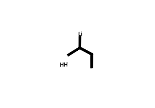 [HH].[Li][CH](C)CC